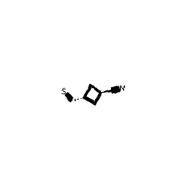 N#C[C@H]1C[C@H](C=S)C1